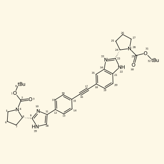 CC(C)(C)OC(=O)N1CCC[C@H]1c1nc(-c2ccc(C#Cc3ccc4[nH]c([C@@H]5CCCN5C(=O)OC(C)(C)C)nc4c3)cc2)c[nH]1